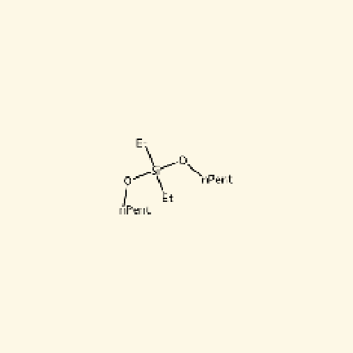 CCCCCO[Si](CC)(CC)OCCCCC